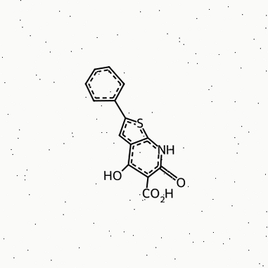 O=C(O)c1c(O)c2cc(-c3ccccc3)sc2[nH]c1=O